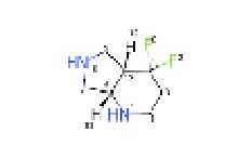 FC1(F)CCN[C@@H]2CNC[C@@H]21